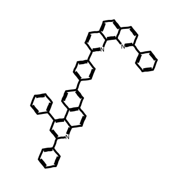 c1ccc(-c2cc(-c3ccccc3)c3c(ccc4cc(-c5ccc(-c6ccc7ccc8ccc(-c9ccccc9)nc8c7n6)cc5)ccc43)n2)cc1